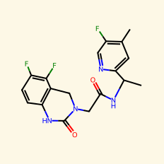 Cc1cc(C(C)NC(=O)CN2Cc3c(ccc(F)c3F)NC2=O)ncc1F